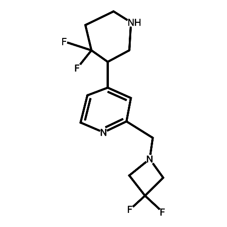 FC1(F)CN(Cc2cc(C3CNCCC3(F)F)ccn2)C1